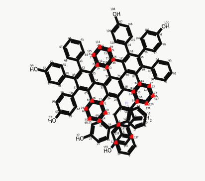 C=C(/C(=C(\CC(c1ccccc1)(c1ccccc1)c1ccc(O)cc1)c1c(-c2ccccc2)c(-c2c(-c3ccccc3)c(-c3ccccc3)c(-c3ccc(O)cc3)c(-c3ccc(O)cc3)c2-c2ccccc2)c(-c2ccccc2)c(-c2c(-c3ccccc3)c(-c3ccccc3)c(-c3ccc(O)cc3)c(-c3ccc(O)cc3)c2-c2ccccc2)c1-c1ccccc1)c1ccccc1)c1ccc(O)cc1